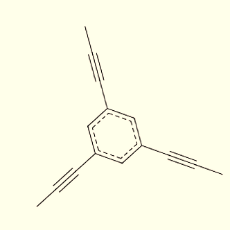 CC#Cc1cc(C#CC)cc(C#CC)c1